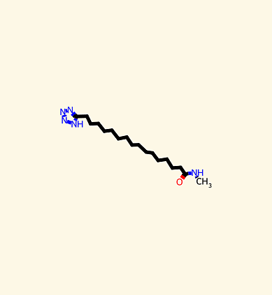 CNC(=O)CCCCCCCCCCCCCCCc1nnn[nH]1